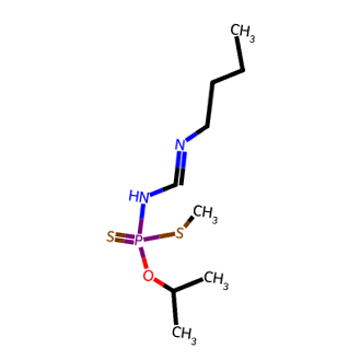 CCCCN=CNP(=S)(OC(C)C)SC